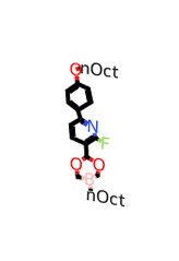 CCCCCCCCOc1ccc(-c2ccc(C3OCB(CCCCCCCC)CO3)c(F)n2)cc1